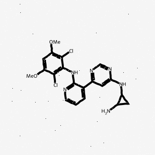 COc1cc(OC)c(Cl)c(Nc2ncccc2-c2cc(NC3CC3N)ncn2)c1Cl